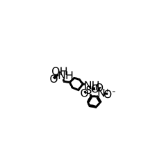 O=C(O)NCC1CCC(NS(=O)(=O)c2ccccc2[N+](=O)[O-])CC1